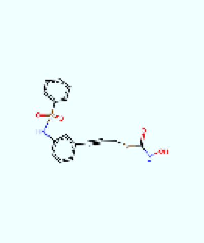 O=C(NO)SCC#Cc1cccc(NS(=O)(=O)c2ccccc2)c1